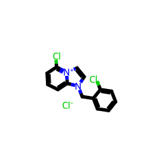 Clc1ccccc1Cn1cc[n+]2c(Cl)cccc12.[Cl-]